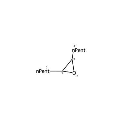 CCCCCC1OC1CCCCC